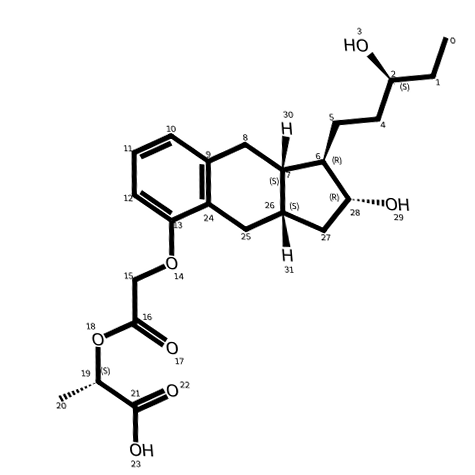 CC[C@H](O)CC[C@@H]1[C@H]2Cc3cccc(OCC(=O)O[C@@H](C)C(=O)O)c3C[C@H]2C[C@H]1O